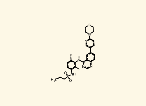 CCCS(=O)(=O)Nc1ccc(F)c(Nc2ncnc3ccc(-c4ccc(N5CCOCC5)nc4)cc23)c1F